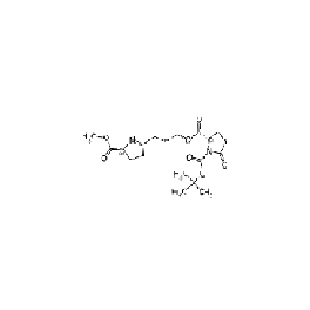 COC(=O)[C@@H]1CCC(CCCOC(=O)[C@@H]2CCC(=O)N2C(=O)OC(C)(C)C)=N1